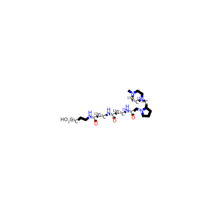 CN1CC[15N]([13CH2]C2CCC[15N]2C[13C](=O)[15NH][13CH2][13CH2][13C](=O)N[13CH2][13CH2][13C](=O)NCC[13CH2]C(=O)O)[13CH2][13CH2]1